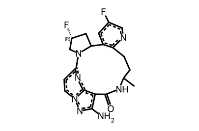 CC1CCc2ncc(F)cc2C2C[C@@H](F)CN2c2ccn3nc(N)c(c3n2)C(=O)N1